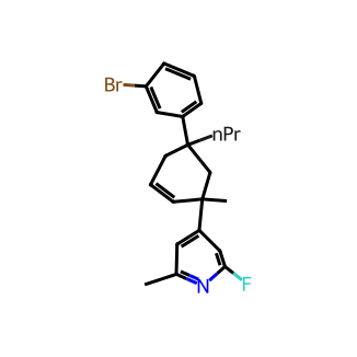 CCCC1(c2cccc(Br)c2)CC=CC(C)(c2cc(C)nc(F)c2)C1